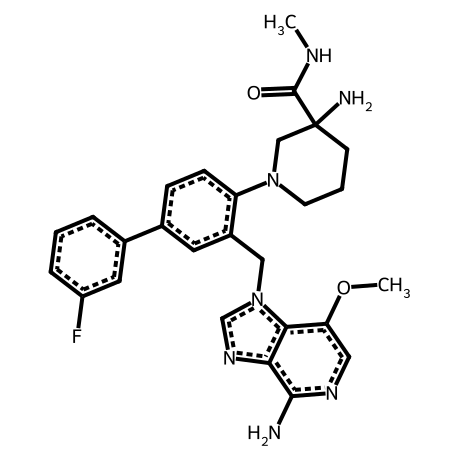 CNC(=O)C1(N)CCCN(c2ccc(-c3cccc(F)c3)cc2Cn2cnc3c(N)ncc(OC)c32)C1